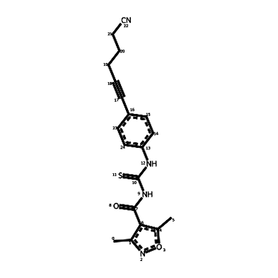 Cc1noc(C)c1C(=O)NC(=S)Nc1ccc(C#CCCCC#N)cc1